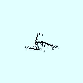 CCCCCCc1cc(C)sc1Bc1cc(CCCCCC)c(Cc2cc(CCCCCCSC(C)=O)c(C)s2)s1